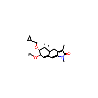 CC1=C2C[C@@]3(C)C(=C[C@@H](OC(C)C)[C@H](OCC4CC4)[C@@H]3C)C=C2N(C)C1=O